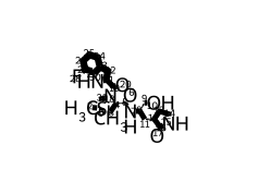 C[Si]1(C)C[C@@H](C(=O)N[C@H](CO)C[C@@H]2CCNC2=O)N(C(=O)c2cc3cccc(F)c3[nH]2)C1